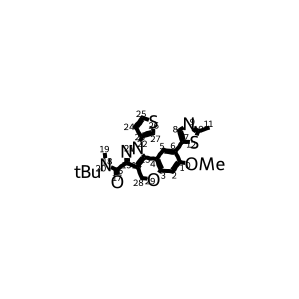 COc1cc2c(cc1-c1cnc(C)s1)-c1c(c(C(=O)N(C)C(C)(C)C)nn1-c1ccsc1)CO2